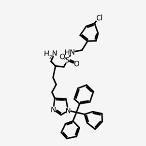 NCC(CCCc1cn(C(c2ccccc2)(c2ccccc2)c2ccccc2)cn1)CS(=O)(=O)NCc1ccc(Cl)cc1